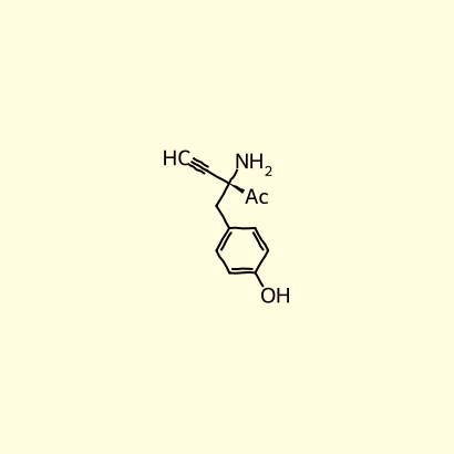 C#C[C@](N)(Cc1ccc(O)cc1)C(C)=O